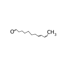 C/C=C\C=C\CCCCCCC=O